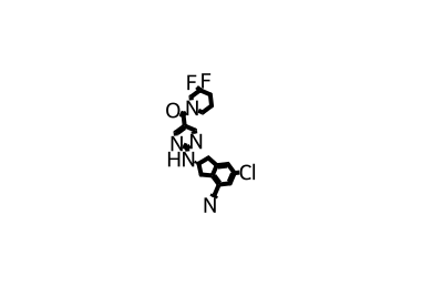 N#Cc1cc(Cl)cc2c1C[C@@H](Nc1ncc(C(=O)N3CCCC(F)(F)C3)cn1)C2